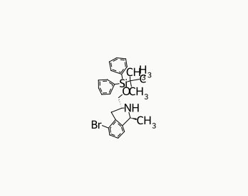 C[C@@H]1N[C@@H](CO[Si](c2ccccc2)(c2ccccc2)C(C)(C)C)Cc2c(Br)cccc21